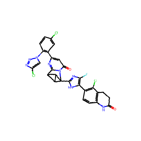 O=C1CCc2c(ccc(-c3[nH]c(C45C6C(c7nc(-c8cc(Cl)ccc8-n8cc(Cl)nn8)cc(=O)n74)C65)nc3F)c2Cl)N1